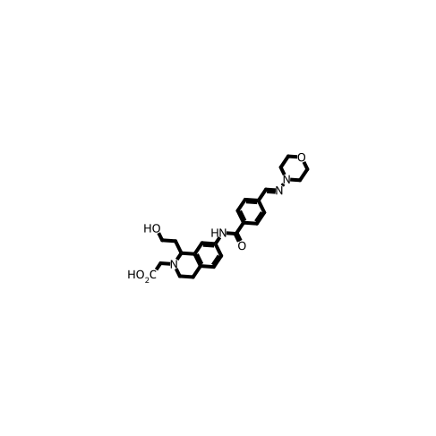 O=C(O)CN1CCc2ccc(NC(=O)c3ccc(C=NN4CCOCC4)cc3)cc2C1CCO